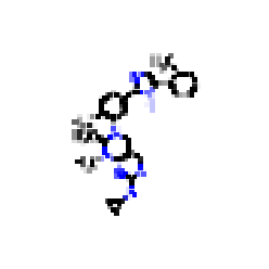 C=C1N(C)c2nc(NC3CC3)ncc2CN1c1cc(-c2ncc(-c3ccccc3C)[nH]2)ccc1C